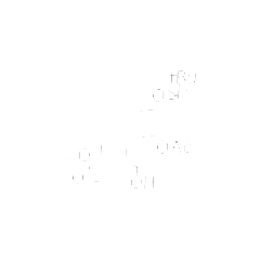 CC(=O)O[C@H]1C[C@@H](O[Si](C)(C)C(C)(C)C)CC[C@]1(C)C1CC[C@@]2(C)C(CCC23OCCO3)[C@@H]1CO